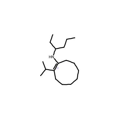 CCCC(CC)N/C1=C(\C(C)C)CCCCCCC1